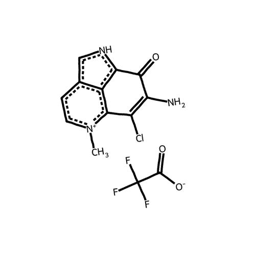 C[n+]1ccc2c[nH]c3c2c1C(Cl)=C(N)C3=O.O=C([O-])C(F)(F)F